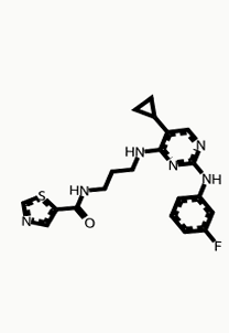 O=C(NCCCNc1nc(Nc2cccc(F)c2)ncc1C1CC1)c1cncs1